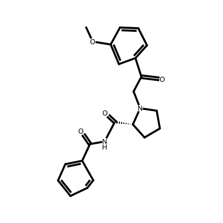 COc1cccc(C(=O)CN2CCC[C@@H]2C(=O)NC(=O)c2ccccc2)c1